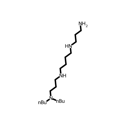 CCCCN(CCCC)CCCNCCCCNCCCN